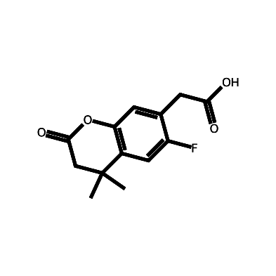 CC1(C)CC(=O)Oc2cc(CC(=O)O)c(F)cc21